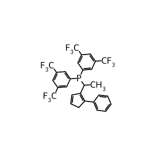 CC(C1=C(c2ccccc2)CC=C1)P(c1cc(C(F)(F)F)cc(C(F)(F)F)c1)c1cc(C(F)(F)F)cc(C(F)(F)F)c1